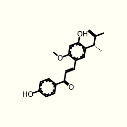 C=C(C)[C@H](C)c1cc(/C=C/C(=O)c2ccc(O)cc2)c(OC)cc1O